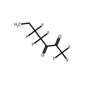 CCC(F)(F)C(F)(F)C(=O)C(=O)C(F)(F)F